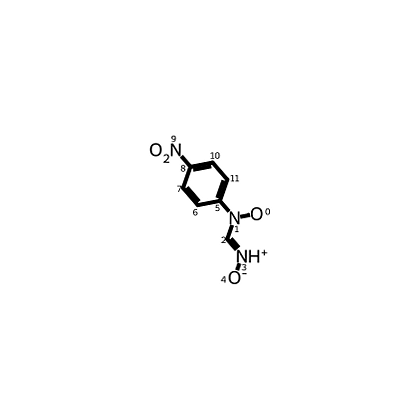 [O]N(C=[NH+][O-])c1ccc([N+](=O)[O-])cc1